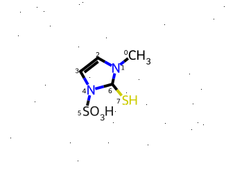 CN1C=CN(S(=O)(=O)O)C1S